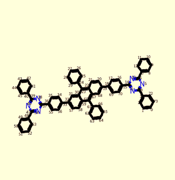 c1ccc(-c2nc(-c3ccccc3)nc(-c3ccc(-c4ccc5c(-c6ccccc6)c6cc(-c7ccc(-c8nc(-c9ccccc9)nc(-c9ccccc9)n8)cc7)ccc6c(-c6ccccc6)c5c4)cc3)n2)cc1